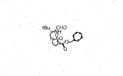 CC(C)(C)[C@@H](CN1CCN(C(=O)OCc2ccccc2)S1(=O)=O)NC=O